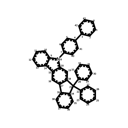 c1ccc(-c2ccc(-n3c4ccccc4c4cc5c(cc43)C(c3ccccc3)(c3ccccc3)c3ccccc3-5)cc2)cc1